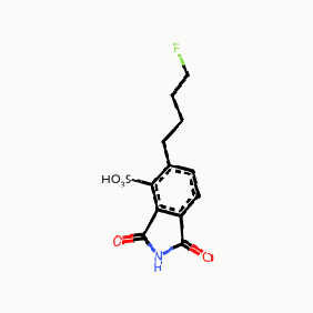 O=C1NC(=O)c2c1ccc(CCCCF)c2S(=O)(=O)O